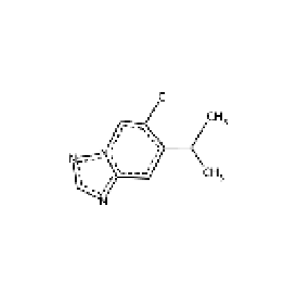 CC(C)c1cc2ncnn2cc1Cl